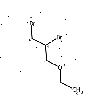 CCOCC(Br)CBr